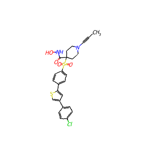 CC#CN1CCC(C(=O)NO)(S(=O)(=O)c2ccc(-c3cc(-c4ccc(Cl)cc4)cs3)cc2)CC1